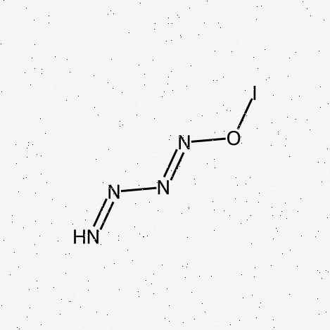 N=NN=NOI